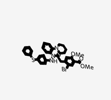 COC(=O)c1cc(Br)c(CC(=O)N(Nc2ccc(Sc3ccccc3)cc2)c2ccccc2N2CCCCC2)cc1OC